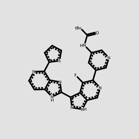 CC(C)(C)C(=O)Nc1cncc(-c2ncc3[nH]nc(-c4nc5c(-c6cccs6)nccc5[nH]4)c3c2F)c1